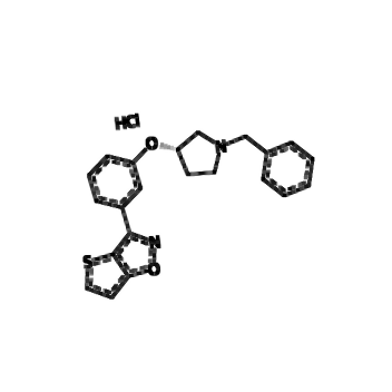 Cl.c1ccc(CN2CC[C@H](Oc3cccc(-c4noc5ccsc45)c3)C2)cc1